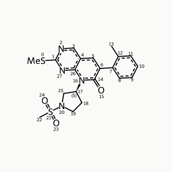 CSc1ncc2cc(-c3ccccc3C)c(=O)n([C@H]3CCN(S(C)(=O)=O)C3)c2n1